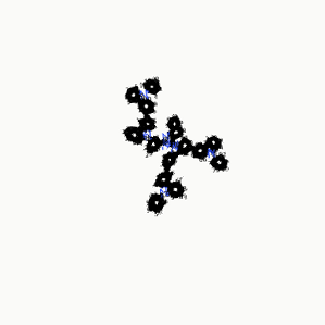 c1ccc(-n2c3ccccc3c3cc(-c4ccc5c(c4)c4ccccc4n5-c4cccc(-c5nc(-n6c7ccc(-c8ccc9c(c8)c8ccccc8n9-c8ccccc8)cc7c7cc(-c8ccc9c(c8)c8ccccc8n9-c8ccccc8)ccc76)c6ccc7ccccc7c6n5)c4)ccc32)cc1